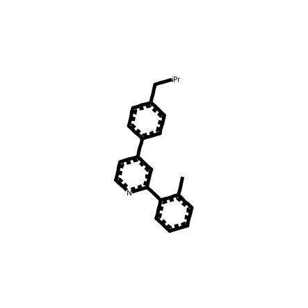 Cc1ccccc1-c1cc(-c2ccc(CC(C)C)cc2)ccn1